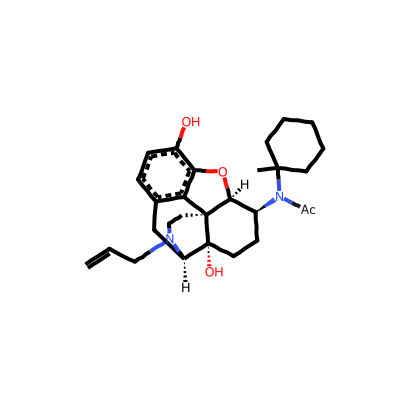 C=CCN1CC[C@]23c4c5ccc(O)c4O[C@H]2[C@@H](N(C(C)=O)C2(C)CCCCC2)CC[C@@]3(O)[C@H]1C5